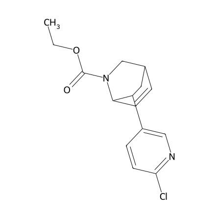 CCOC(=O)N1CC2C=CC1C(c1ccc(Cl)nc1)C2